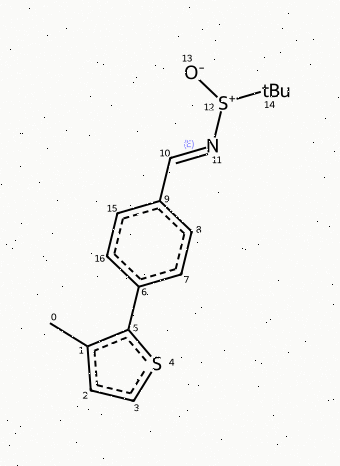 Cc1ccsc1-c1ccc(/C=N/[S+]([O-])C(C)(C)C)cc1